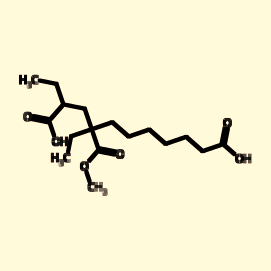 CCC(CC(CC)(CCCCCCC(=O)O)C(=O)OC)C(=O)O